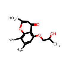 CCCc1c(C)cc(OCC(C)O)c2c(=O)cc(C(=O)O)oc12